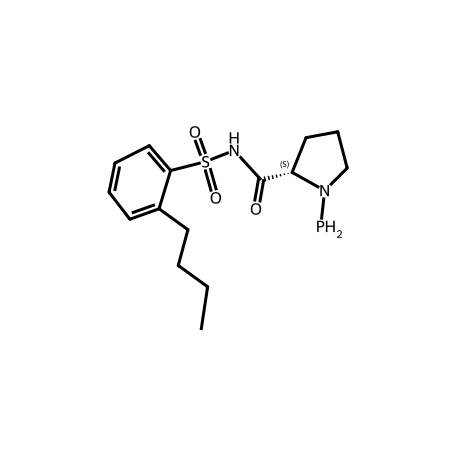 CCCCc1ccccc1S(=O)(=O)NC(=O)[C@@H]1CCCN1P